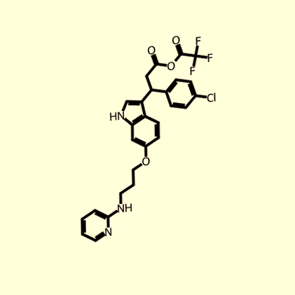 O=C(CC(c1ccc(Cl)cc1)c1c[nH]c2cc(OCCCNc3ccccn3)ccc12)OC(=O)C(F)(F)F